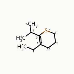 CCC1=C(C(C)C)SCCC1